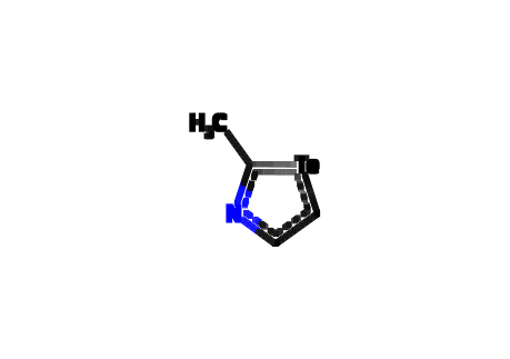 Cc1ncc[te]1